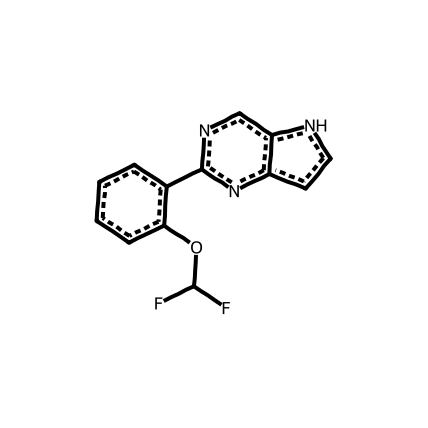 FC(F)Oc1ccccc1-c1ncc2[nH]ccc2n1